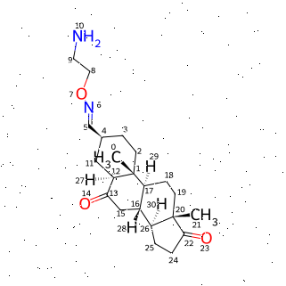 C[C@]12CC[C@H](/C=N/OCCN)C[C@@H]1C(=O)C[C@@H]1[C@@H]2CC[C@]2(C)C(=O)CC[C@@H]12